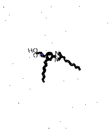 CCCCCCCCc1cnc(-c2ccc(/C=C/C(=O)O)c(CCCCCCCC)c2)nc1